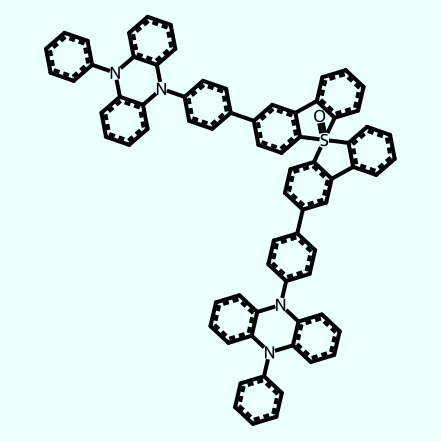 O=S12(c3ccccc3-c3cc(-c4ccc(N5c6ccccc6N(c6ccccc6)c6ccccc65)cc4)ccc31)c1ccccc1-c1cc(-c3ccc(N4c5ccccc5N(c5ccccc5)c5ccccc54)cc3)ccc12